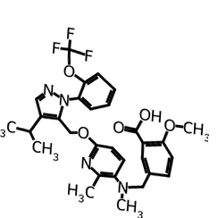 COc1ccc(CN(C)c2ccc(OCc3c(C(C)C)cnn3-c3ccccc3OC(F)(F)F)nc2C)cc1C(=O)O